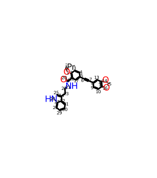 CC(C)Oc1ccc(C#Cc2ccc3c(c2)OCO3)cc1C(=O)NCCc1c[nH]c2ccccc12